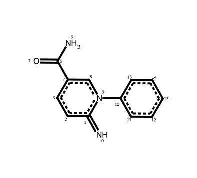 N=c1ccc(C(N)=O)cn1-c1ccccc1